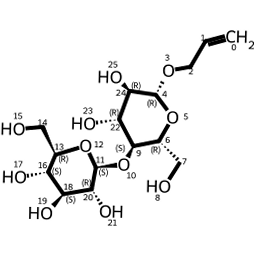 C=CCO[C@@H]1O[C@H](CO)[C@@H](O[C@@H]2O[C@H](CO)[C@@H](O)[C@H](O)[C@H]2O)[C@H](O)[C@H]1O